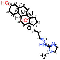 CN1CCN=C1N/N=C/CC[C@H]1CC[C@]2(O)[C@@H]3CC[C@@H]4C[C@@H](O)CC[C@]4(C)[C@H]3CC[C@]12C